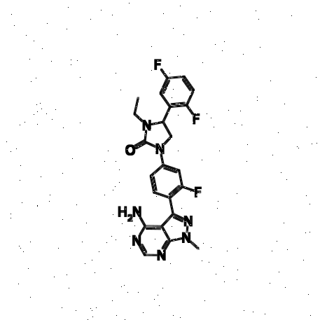 CCN1C(=O)N(c2ccc(-c3nn(C)c4ncnc(N)c34)c(F)c2)CC1c1cc(F)ccc1F